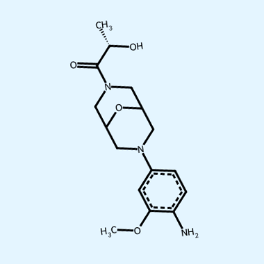 COc1cc(N2CC3CN(C(=O)[C@H](C)O)CC(C2)O3)ccc1N